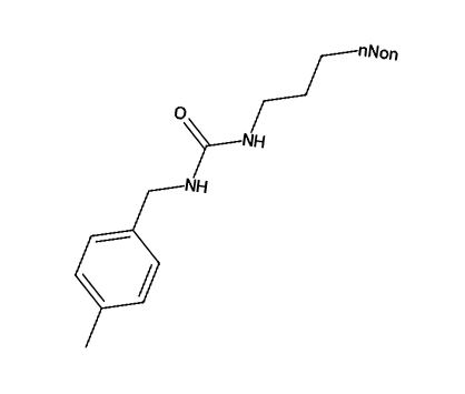 CCCCCCCCCCCCNC(=O)NCc1ccc(C)cc1